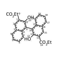 CCOC(=O)c1cc2ccccc2c(-c2c(O)c(C(=O)OCC)cc3ccccc23)c1O